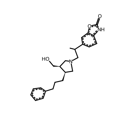 CC(CN1C[C@@H](CCCc2ccccc2)[C@@H](CO)C1)c1ccc2[nH]c(=O)oc2c1